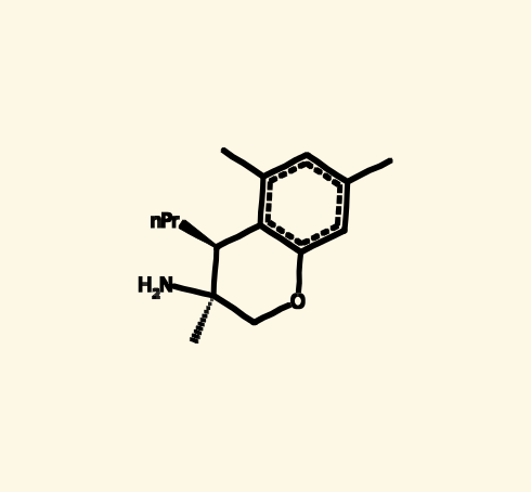 CCC[C@H]1c2c(C)cc(C)cc2OC[C@@]1(C)N